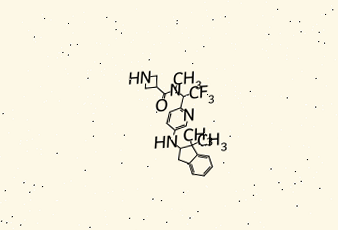 CN(C(=O)C1CNC1)C(c1ccc(NC2Cc3ccccc3C2(C)C)cn1)C(F)(F)F